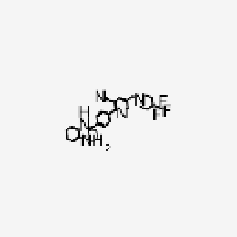 N#Cc1cc(CN2CCC(C(F)(F)F)CC2)cnc1-c1ccc(C(=O)Nc2ccccc2N)cc1